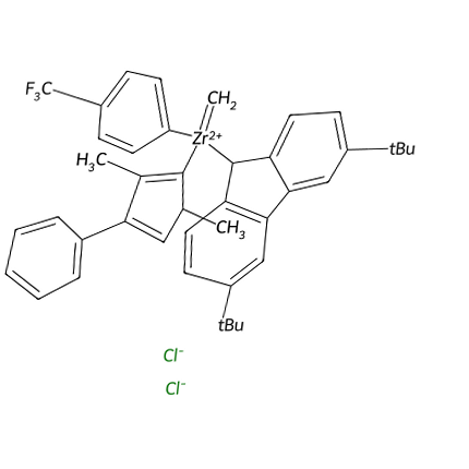 [CH2]=[Zr+2]([C]1=C(C)C(c2ccccc2)=CC1C)([c]1ccc(C(F)(F)F)cc1)[CH]1c2ccc(C(C)(C)C)cc2-c2cc(C(C)(C)C)ccc21.[Cl-].[Cl-]